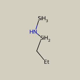 CCC[SiH2]N[SiH3]